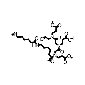 C=NCCCCCC(=O)NCCCCCC1(N(CCC(=O)OC)CC(=O)N(CCC(=O)OI)CC(=O)N(CC=O)CCC(=O)OC)CO1